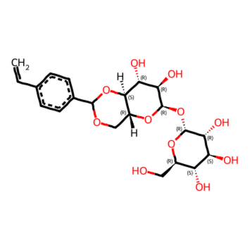 C=Cc1ccc(C2OC[C@H]3O[C@H](O[C@H]4O[C@H](CO)[C@@H](O)[C@H](O)[C@H]4O)[C@H](O)[C@@H](O)[C@@H]3O2)cc1